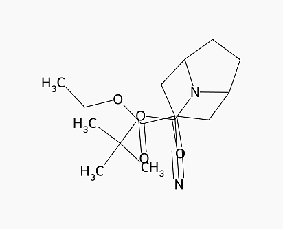 CCOC(=O)C1(C#N)CC2CCC(C1)N2C(=O)OC(C)(C)C